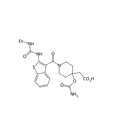 CCNC(=O)Nc1sc2ccccc2c1C(=O)N1CCC(CC(=O)O)(OC(N)=O)CC1